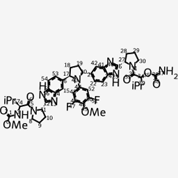 COC(=O)N[C@H](C(=O)N1CCC[C@H]1c1nc2cc([C@H]3CC[C@H](c4ccc5[nH]c([C@@H]6CCCN6C(=O)C(OC(N)=O)C(C)C)nc5c4)N3c3cc(F)c(OC)c(F)c3)ccc2[nH]1)C(C)C